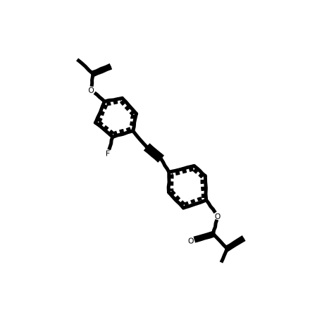 C=C(C)Oc1ccc(C#Cc2ccc(OC(=O)C(=C)C)cc2)c(F)c1